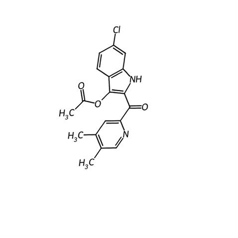 CC(=O)Oc1c(C(=O)c2cc(C)c(C)cn2)[nH]c2cc(Cl)ccc12